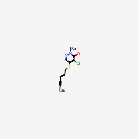 CC(C)(C)C#C/C=C/CSc1cnn(C(C)(C)C)c(=O)c1Cl